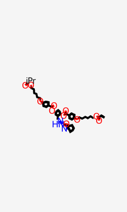 C=CC(=O)OCCCCCCOc1ccc(C(=O)Oc2ccc(OC(=O)c3ccc(OCCCCCCOC(=O)C(C)C)cc3)cc2/C=N/Nc2nc3ccccc3o2)cc1